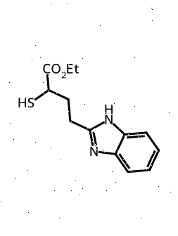 CCOC(=O)C(S)CCc1nc2ccccc2[nH]1